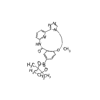 C[C@H]1CCCn2cnnc2-c2cccc(n2)NC(=O)c2cc(B3OC(C)(C)C(C)(C)O3)ccc2O1